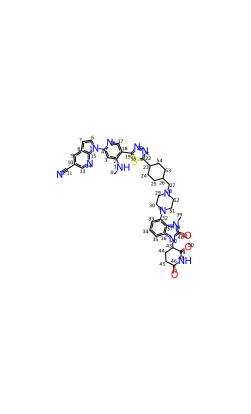 CNc1cc(-n2ccc3cc(C#N)cnc32)ncc1-c1nnc(C2CCC(CN3CCN(c4cccc5c4n(C)c(=O)n5C4CCC(=O)NC4=O)CC3)CC2)s1